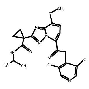 COc1ccc(C(=O)Cc2c(Cl)cncc2Cl)n2nc(C3(C(=O)NC(C)C)CC3)nc12